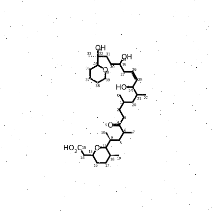 CC(CCC(=O)C(C)C[C@H](C)C1OC(CC(=O)O)CC[C@@H]1C)CC(C)C(O)/C=C\CC(O)CC[C@](C)(O)C1CCCCO1